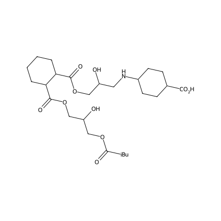 CCC(C)C(=O)OCC(O)COC(=O)C1CCCCC1C(=O)OCC(O)CNC1CCC(C(=O)O)CC1